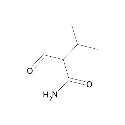 CC(C)C([C]=O)C(N)=O